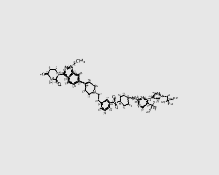 Cn1nc(N2CCC(=O)NC2=O)c2ccc(C3CCN(CCc4cccc(S(=O)(=O)C5CCC(Nc6ncc(C(F)(F)F)c(-c7cnn(CC(F)(F)F)c7)n6)CC5)c4)CC3)cc21